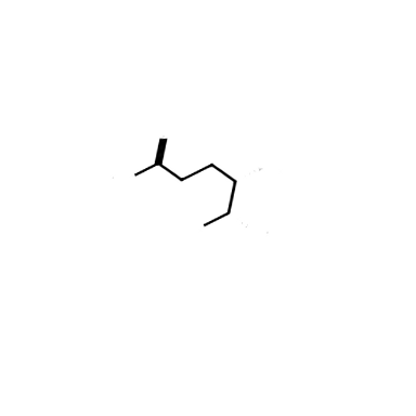 CC(=O)OC(=O)CC[C@H](C)[C@H](C)S